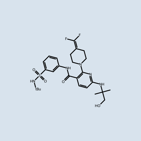 CC(C)(C)NS(=O)(=O)c1cccc(NC(=O)c2ccc(NC(C)(C)CO)nc2N2CCC(=C(F)F)CC2)c1